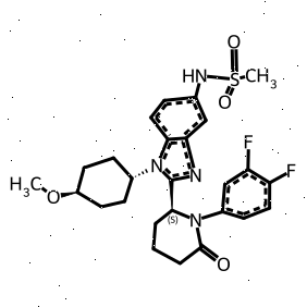 CO[C@H]1CC[C@H](n2c([C@@H]3CCCC(=O)N3c3ccc(F)c(F)c3)nc3cc(NS(C)(=O)=O)ccc32)CC1